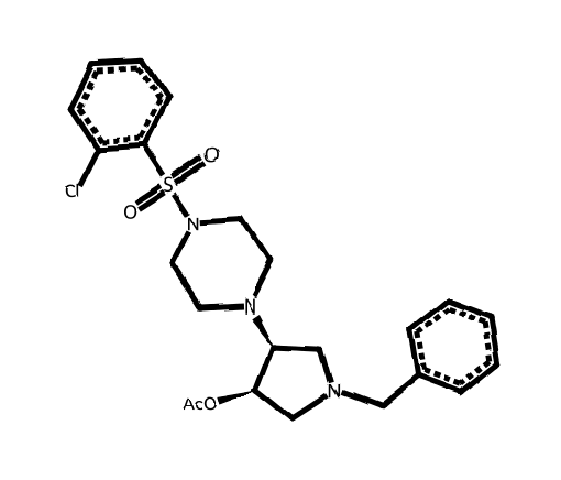 CC(=O)O[C@@H]1CN(Cc2ccccc2)C[C@@H]1N1CCN(S(=O)(=O)c2ccccc2Cl)CC1